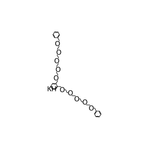 [KH].c1ccc(COCCOCCOCCOCCOCc2ccccc2COCCOCCOCCOCCOCc2ccccc2)cc1